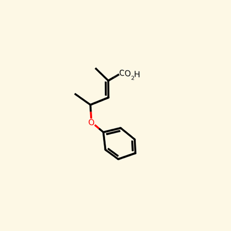 CC(=CC(C)Oc1ccccc1)C(=O)O